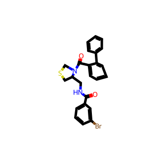 O=C(NCC1CSCN1C(=O)c1ccccc1-c1ccccc1)c1cccc(Br)c1